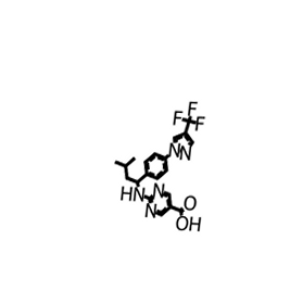 CC(C)CC(Nc1ncc(C(=O)O)cn1)c1ccc(-n2cc(C(F)(F)F)cn2)cc1